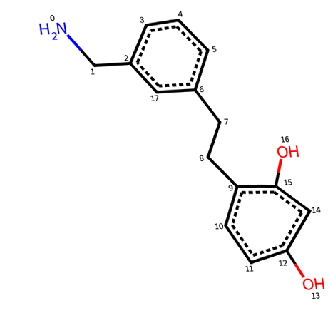 NCc1cccc(CCc2ccc(O)cc2O)c1